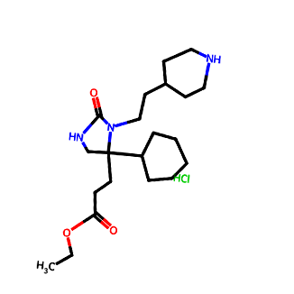 CCOC(=O)CCC1(C2CCCCC2)CNC(=O)N1CCC1CCNCC1.Cl